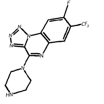 Fc1cc2c(cc1C(F)(F)F)nc(N1CCNCC1)c1nnnn12